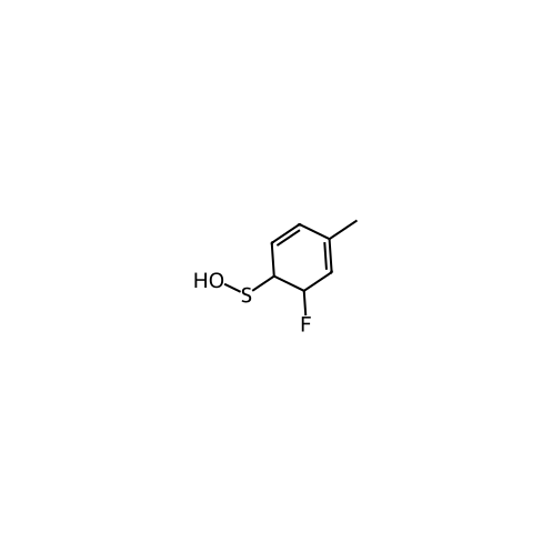 CC1=CC(F)C(SO)C=C1